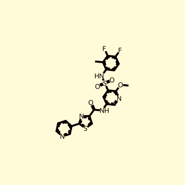 COc1ncc(NC(=O)c2csc(-c3cccnc3)n2)cc1S(=O)(=O)Nc1ccc(F)c(F)c1C